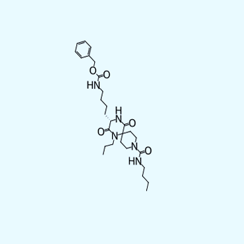 CCCCNC(=O)N1CCC2(CC1)C(=O)N[C@@H](CCCCNC(=O)OCc1ccccc1)C(=O)N2CCC